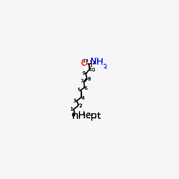 CCCCCCCCCCCCCC=CCCC(N)=O